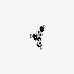 COc1ccc(C2CN(Cc3nccc(OC)n3)CCC2NC(=O)Nc2ccc(Cl)cc2)cc1